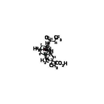 CC(C)(C[C@@H]1C2[C@H]3C[C@@H](C[C@@H]1N3)CN2C(=O)CC(F)(F)F)C(=O)O